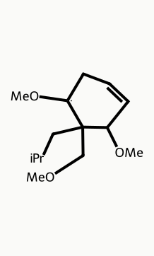 COCC1(CC(C)C)[C](OC)CC=CC1OC